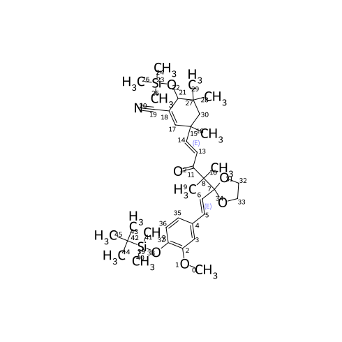 COc1cc(/C=C/C2(C(C)(C)C(=O)/C=C/C3(C)C=C(C#N)C(O[Si](C)(C)C)C(C)(C)C3)OCCO2)ccc1O[Si](C)(C)C(C)(C)C